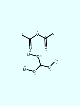 CC(=O)OC(C)=O.CCOC(OCC)OCC